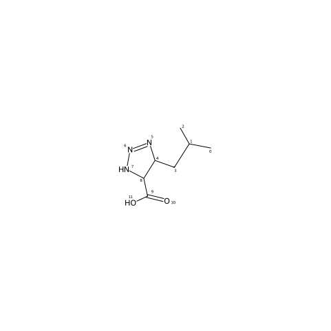 CC(C)CC1N=NNC1C(=O)O